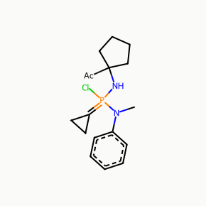 CC(=O)C1(NP(Cl)(=C2CC2)N(C)c2ccccc2)CCCC1